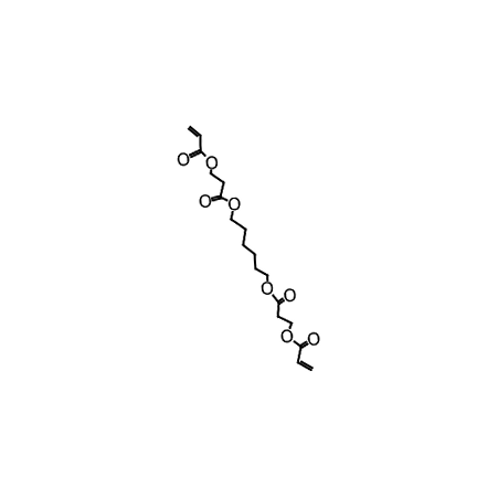 C=CC(=O)OCCC(=O)OCCCCCCOC(=O)CCOC(=O)C=C